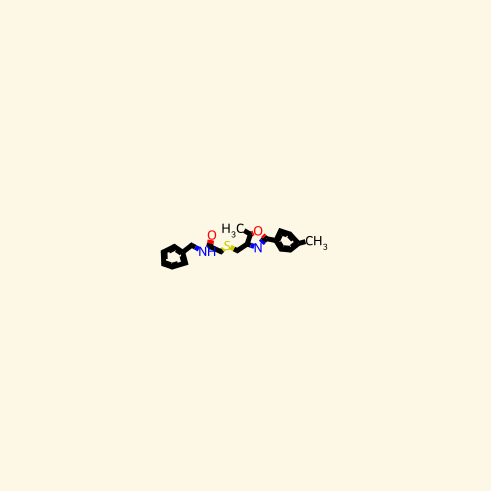 Cc1ccc(C2=NC(CSCC(=O)NCc3ccccc3)C(C)O2)cc1